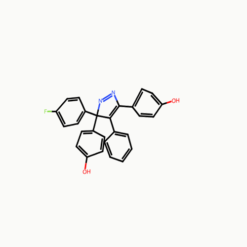 Oc1ccc(C2=C(c3ccccc3)C(c3ccc(O)cc3)(c3ccc(F)cc3)N=N2)cc1